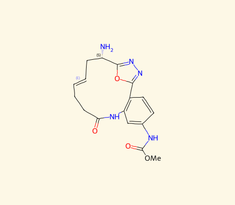 COC(=O)Nc1ccc2c(c1)NC(=O)CC/C=C/C[C@H](N)c1nnc-2o1